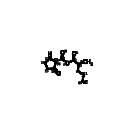 CC(=O)SCC(C)C(=O)OC(=O)[C@H]1NCCC1=O